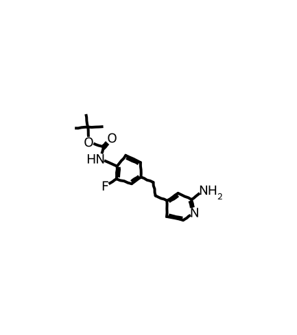 CC(C)(C)OC(=O)Nc1ccc(CCc2ccnc(N)c2)cc1F